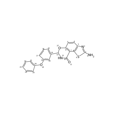 Nc1nc2ccc3c(c2s1)C(=O)NC(c1cccc(Oc2ccccc2)c1)O3